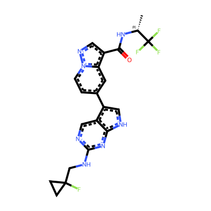 C[C@@H](NC(=O)c1cnn2ccc(-c3c[nH]c4nc(NCC5(F)CC5)ncc34)cc12)C(F)(F)F